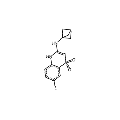 O=S1(=O)N=C(NC23CC(C2)C3)Nc2ccc(F)cc21